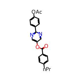 CCCc1ccc(C(=O)Oc2cnc(-c3ccc(OC(C)=O)cc3)nc2)cc1